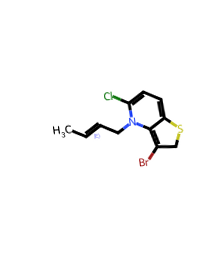 C/C=C/CN1C(Cl)=CC=C2SCC(Br)=C21